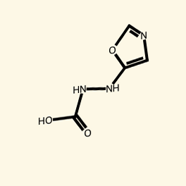 O=C(O)NNc1cnco1